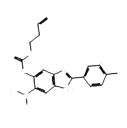 C=CCCOC(=O)Nc1cc2nc(-c3ccc(C)cc3)[nH]c2cc1N(CC)CC